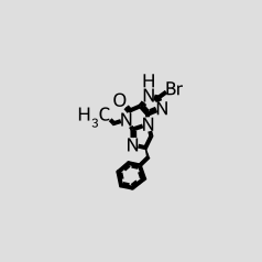 CCN1C(=O)c2[nH]c(Br)nc2N2C[C@@H](Cc3ccccc3)N=C12